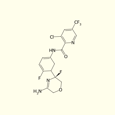 NC1=N[C@](F)(C2CC(NC(=O)c3ncc(C(F)(F)F)cc3Cl)=CC=C2F)COC1